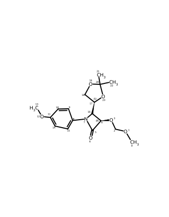 COCO[C@H]1C(=O)N(c2ccc(OC)cc2)C1[C@H]1COC(C)(C)O1